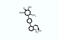 C#C/C=C\c1c(C)cccc1-c1ccc(-c2cc(O)c(=O)c(O)cc2C)cc1